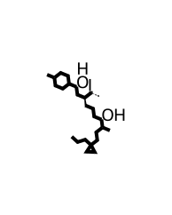 CCCC1(CCC(C)C(O)CCC[C@@H](CC(O)C2CCC(C)CC2)[C@@H](C)I)CC1